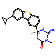 CN1C(=N)N[C@](C)(c2ccc3sc4ccc(C5CC5)cc4c3c2)CC1=O